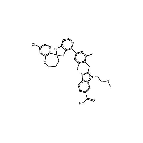 COCCn1c(Cc2c(F)cc(-c3cccc4c3OC3(CCCOc5cc(Cl)ccc53)O4)cc2F)nc2ccc(C(=O)O)cc21